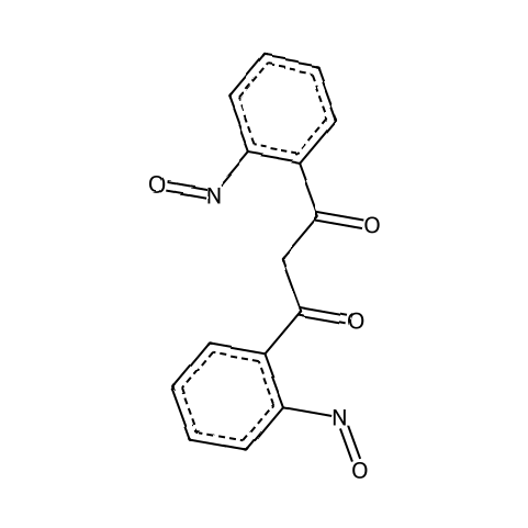 O=Nc1ccccc1C(=O)CC(=O)c1ccccc1N=O